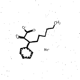 CCCCCCC(C(=O)C(=O)[O-])c1ccccc1.[Na+]